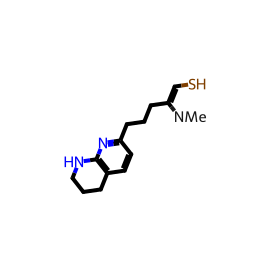 CN/C(=C\S)CCCc1ccc2c(n1)NCCC2